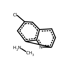 CN.Clc1cc2c3nc-2ccc3c1